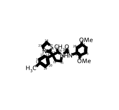 COc1ccc(OC)c(NC(=O)N2CCC(c3ccc(C)cc3)(c3nccs3)C2C)c1